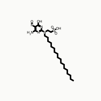 CCCCCCCCCCCCCCCCCCN(CCS(=O)(=O)O)c1nc(N)c(N=O)c(O)n1